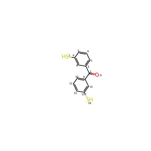 O=C(c1cccc(S)c1)c1cccc(S)c1